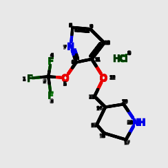 Cl.FC(F)(F)Oc1ncccc1OCC1CCCNC1